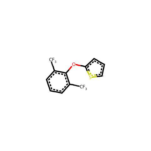 FC(F)(F)c1cccc(C(F)(F)F)c1Oc1cc[c]s1